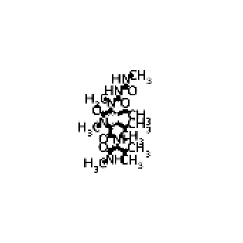 CCC[C@H](C(=O)N(C)[C@@H](CC(C)C)C(=O)N[C@H](C(=O)NC)C(C)C)N(C)C(=O)NC(=O)NC